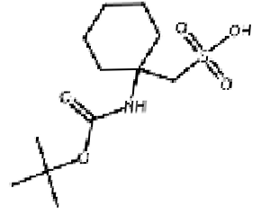 CC(C)(C)OC(=O)NC1(CS(=O)(=O)O)CCCCC1